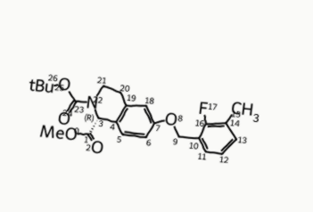 COC(=O)[C@H]1c2ccc(OCc3cccc(C)c3F)cc2CCN1C(=O)OC(C)(C)C